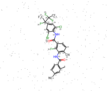 Cc1cc(C#N)ccc1C(=O)Nc1c(C#N)ccc(C(=O)Nc2c(Cl)cc(C(F)(C(F)(F)F)C(F)(F)C(F)(F)F)cc2Br)c1F